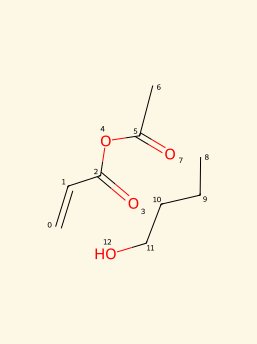 C=CC(=O)OC(C)=O.CCCCO